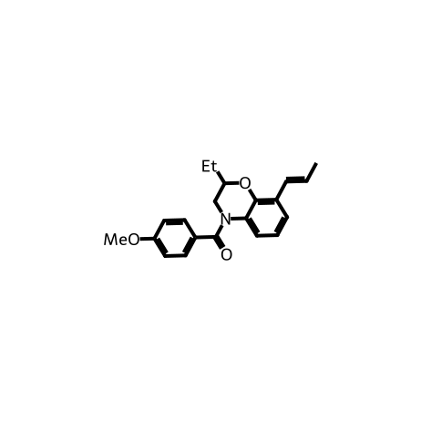 CC=Cc1cccc2c1OC(CC)CN2C(=O)c1ccc(OC)cc1